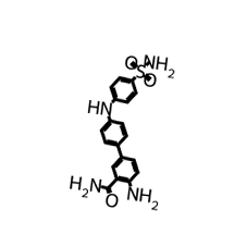 NC(=O)c1cc(-c2ccc(Nc3ccc(S(N)(=O)=O)cc3)cc2)ccc1N